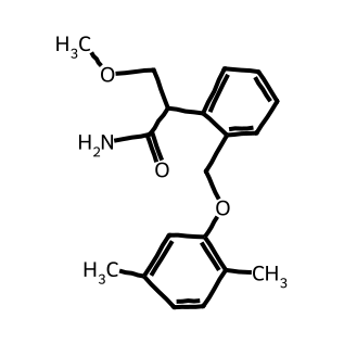 COCC(C(N)=O)c1ccccc1COc1cc(C)ccc1C